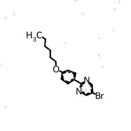 CCCCCCOc1ccc(-c2ncc(Br)cn2)cc1